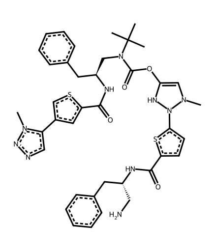 CN1C=C(OC(=O)N(C[C@H](Cc2ccccc2)NC(=O)c2cc(-c3cnnn3C)cs2)C(C)(C)C)NN1c1ccc(C(=O)N[C@H](CN)Cc2ccccc2)s1